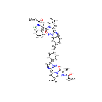 COC(=O)N[C@H](C(=O)N1CC2(CC2)C[C@H]1c1ncc(-c2ccc(C#Cc3ccc4nc([C@@H]5CC6(CC6)CN5C(=O)[C@@](C)(NC(=O)OC)c5ccccc5Cl)[nH]c4c3)cc2)[nH]1)C(C)C